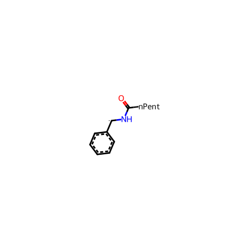 CCCCCC(=O)N[CH]c1ccccc1